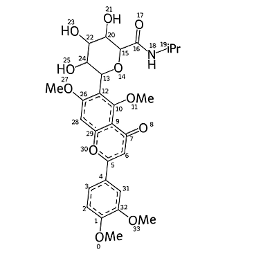 COc1ccc(-c2cc(=O)c3c(OC)c(C4OC(C(=O)NC(C)C)C(O)C(O)C4O)c(OC)cc3o2)cc1OC